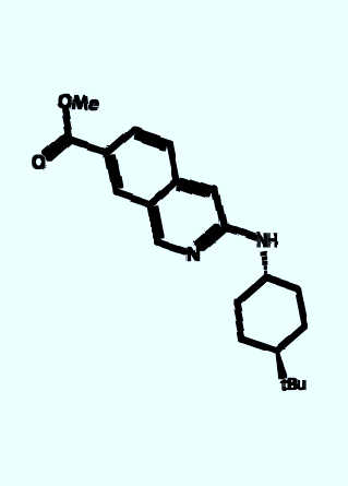 COC(=O)c1ccc2cc(N[C@H]3CC[C@H](C(C)(C)C)CC3)ncc2c1